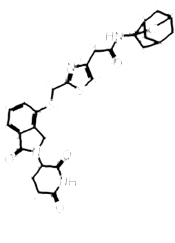 O=C1CCC(N2Cc3c(SCc4nc(CC(=O)NC56CC7CC(CC5C7)C6)cs4)cccc3C2=O)C(=O)N1